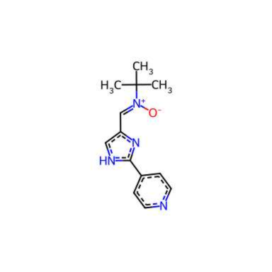 CC(C)(C)[N+]([O-])=Cc1c[nH]c(-c2ccncc2)n1